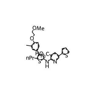 CCCc1sc(Nc2ncc(-c3cccs3)cc2C(=O)O)nc1-c1ccc(OCCOC)c(C)c1